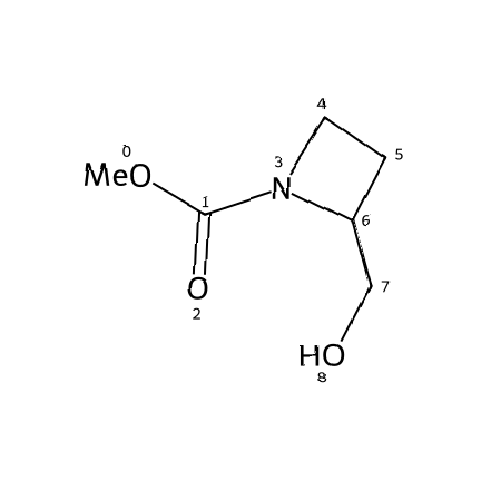 COC(=O)N1CCC1CO